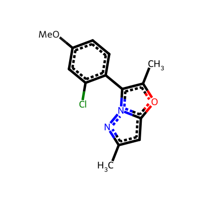 COc1ccc(-c2c(C)oc3cc(C)nn23)c(Cl)c1